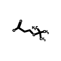 CC(C)(C)OCCC([O])=O